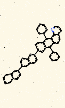 c1ccc(-c2c3cc(-c4ccc5cc(-c6ccc7ccccc7c6)ccc5c4)ccc3c(-c3ccccc3)c3c2ccc2cccnc23)cc1